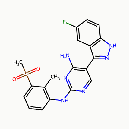 Cc1c(Nc2ncc(-c3n[nH]c4ccc(F)cc34)c(N)n2)cccc1S(C)(=O)=O